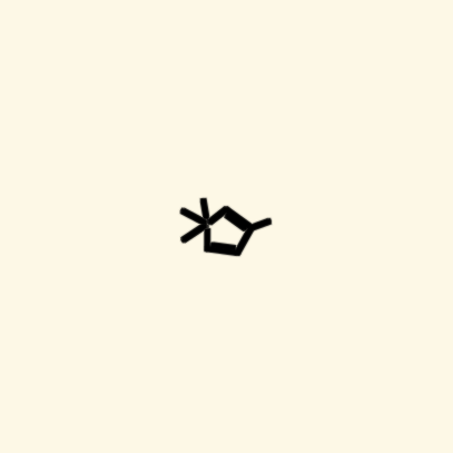 CC1=CI(C)(C)(C)C=C1